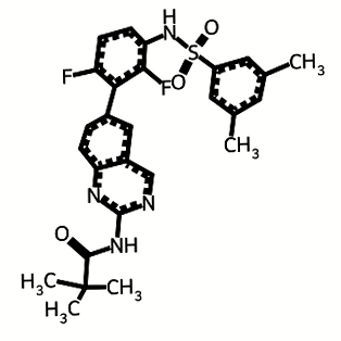 Cc1cc(C)cc(S(=O)(=O)Nc2ccc(F)c(-c3ccc4nc(NC(=O)C(C)(C)C)ncc4c3)c2F)c1